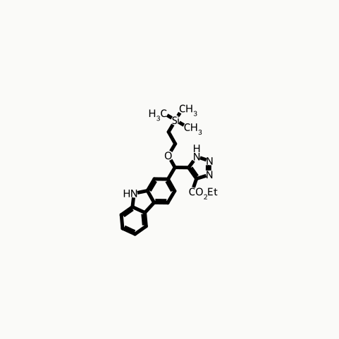 CCOC(=O)c1nn[nH]c1C(OCC[Si](C)(C)C)c1ccc2c(c1)[nH]c1ccccc12